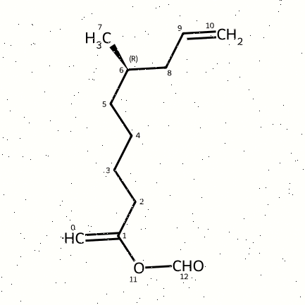 [CH]=C(CCCC[C@@H](C)CC=C)OC=O